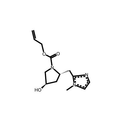 C=CCOC(=O)N1C[C@H](O)C[C@H]1Cc1nccn1C